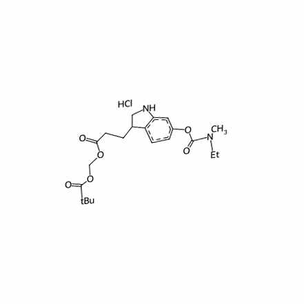 CCN(C)C(=O)Oc1ccc2c(c1)NCC2CCC(=O)OCOC(=O)C(C)(C)C.Cl